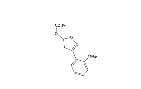 CCOC(=O)OC1CC(c2ccccc2OC)=NO1